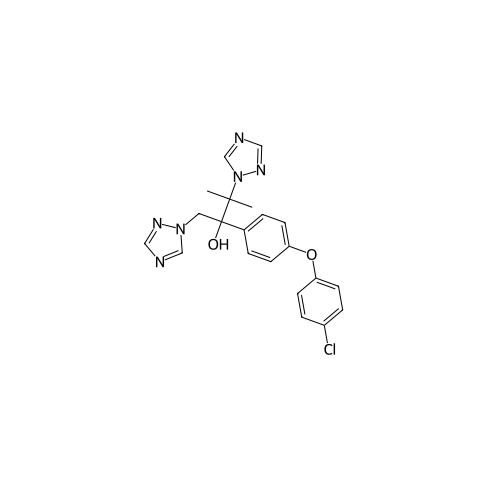 CC(C)(n1cncn1)C(O)(Cn1cncn1)c1ccc(Oc2ccc(Cl)cc2)cc1